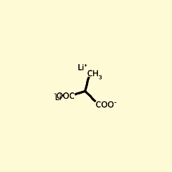 CC(C(=O)[O-])C(=O)[O-].[Li+].[Li+]